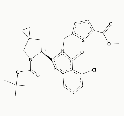 COC(=O)c1ccc(Cn2c([C@@H]3CC4(CC4)CN3C(=O)OC(C)(C)C)nc3cccc(Cl)c3c2=O)s1